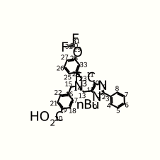 CCCCn1c(-c2ccccc2)nc(C(F)(F)F)c1CN(Cc1ccc(C(=O)O)cc1)Cc1cccc(OC(F)F)c1